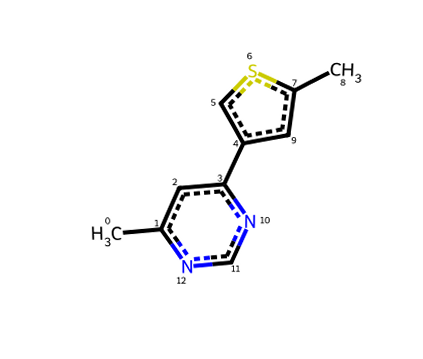 Cc1cc(-c2csc(C)c2)ncn1